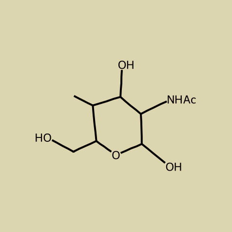 CC(=O)NC1C(O)OC(CO)C(C)C1O